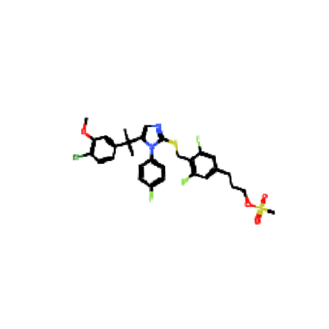 COc1cc(C(C)(C)c2cnc(SCc3c(F)cc(CCCOS(C)(=O)=O)cc3F)n2-c2ccc(F)cc2)ccc1Cl